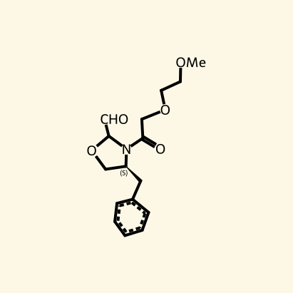 COCCOCC(=O)N1C(C=O)OC[C@@H]1Cc1ccccc1